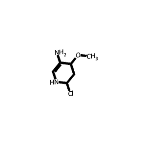 COC1CC(Cl)NC=C1N